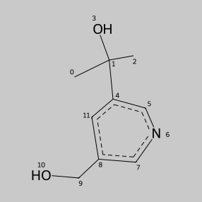 CC(C)(O)c1cncc(CO)c1